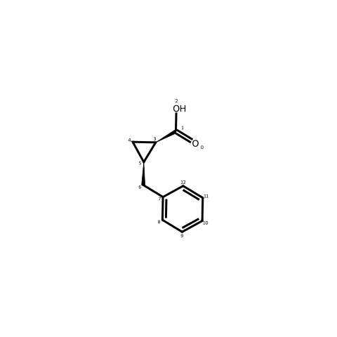 O=C(O)[C@@H]1C[C@@H]1Cc1ccccc1